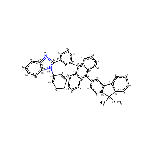 CC1(C)c2ccccc2-c2cc(-c3c4ccccc4c(-c4cccc(-c5nc6ccccc6n5C5=CCCC=C5)c4)c4ccccc34)ccc21